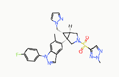 Cc1cc2c(cnn2-c2ccc(F)cc2)cc1[C@@]12CN(S(=O)(=O)c3cnn(C)n3)C[C@@H]1[C@H]2Cn1cccn1